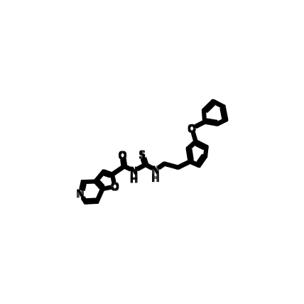 O=C(NC(=S)NCCc1cccc(Oc2ccccc2)c1)c1cc2cnccc2o1